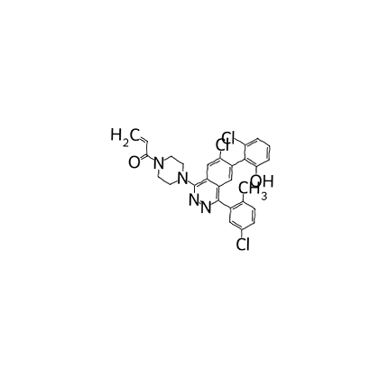 C=CC(=O)N1CCN(c2nnc(-c3cc(Cl)ccc3C)c3cc(-c4c(O)cccc4Cl)c(Cl)cc23)CC1